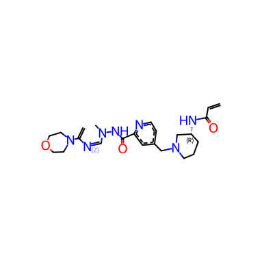 C=CC(=O)N[C@@H]1CCCN(Cc2ccnc(C(=O)NN(C)/C=N\C(=C)N3CCOCC3)c2)C1